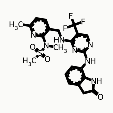 Cc1ccc(CNc2nc(Nc3cccc4c3NC(=O)C4)ncc2C(F)(F)F)c(N(C)S(C)(=O)=O)n1